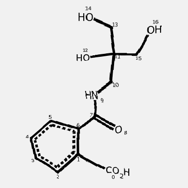 O=C(O)c1ccccc1C(=O)NCC(O)(CO)CO